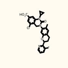 Cc1cc2c(cc1N1Cc3c(Cl)cc(C(=O)O)cc3N(C3CC3)C1=O)OC(c1ncccc1F)CC2